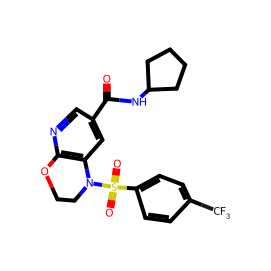 O=C(NC1CCCC1)c1cnc2c(c1)N(S(=O)(=O)c1ccc(C(F)(F)F)cc1)CCO2